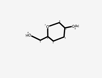 CC(=O)OC1CCC(CO)OC1